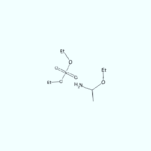 CCOC(C)N.CCOS(=O)(=O)OCC